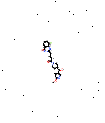 COc1ccc(C(=O)C2CCN(C(=O)CCCc3nc4c(F)cccc4c(=O)[nH]3)CC2)cn1